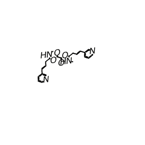 CNC(C/C=C/c1cccnc1)OC(=O)C(=O)OC(C/C=C/c1cccnc1)NC